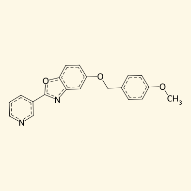 COc1ccc(COc2ccc3oc(-c4cccnc4)nc3c2)cc1